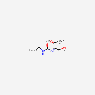 CCCCCCCCNC(=O)NC(CO)C(=O)OC